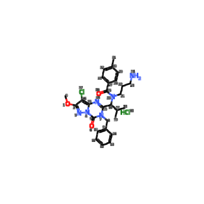 COc1nn2c(=O)n(Cc3ccccc3)c(C(C(C)C)N(CCCN)C(=O)c3ccc(C)cc3)nc2c1Cl.Cl